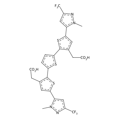 Cn1nc(C(F)(F)F)cc1-c1cc(CC(=O)O)c(-c2ccc(-c3sc(-c4cc(C(F)(F)F)nn4C)cc3CC(=O)O)s2)s1